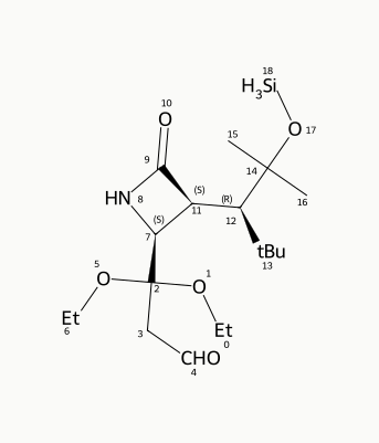 CCOC(CC=O)(OCC)[C@H]1NC(=O)[C@H]1[C@H](C(C)(C)C)C(C)(C)O[SiH3]